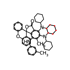 Cc1cccc(Nc2c(C)c(N(C3CCCCC3)C3CCCCC3)c(N(C3CCCCC3)C3CCCCC3)c3c2C2(OC3=O)c3ccccc3Oc3ccccc32)c1